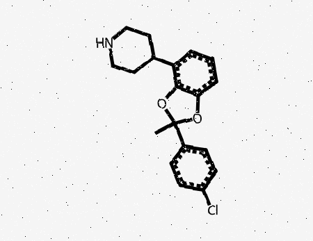 CC1(c2ccc(Cl)cc2)Oc2cccc(C3CCNCC3)c2O1